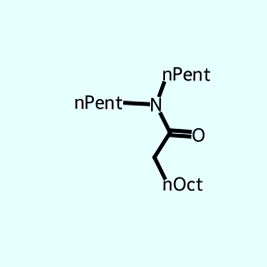 CCCCCCCCCC(=O)N(CCCCC)CCCCC